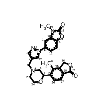 Cc1c([C@@H]2CN(Cc3cnn(-c4ccc5oc(=O)n(C)c5c4)c3)CCO2)ccc2c1COC2=O